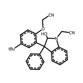 CC(C)(C)c1ccc(OCC#N)c(C2(c3ccccc3)c3ccccc3N(CC#N)C2O)c1